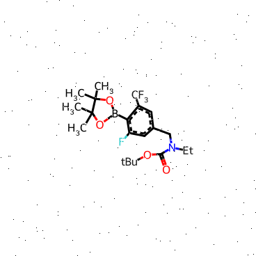 CCN(Cc1cc(F)c(B2OC(C)(C)C(C)(C)O2)c(C(F)(F)F)c1)C(=O)OC(C)(C)C